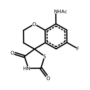 CC(=O)Nc1cc(F)cc2c1OCCC21SC(=O)NC1=O